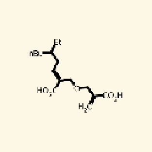 C=C(COCC(=CCC(CC)CCCC)C(=O)O)C(=O)O